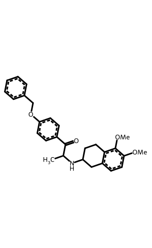 COc1ccc2c(c1OC)CCC(NC(C)C(=O)c1ccc(OCc3ccccc3)cc1)C2